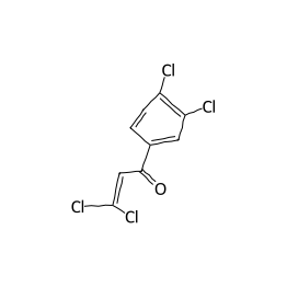 O=C(C=C(Cl)Cl)c1ccc(Cl)c(Cl)c1